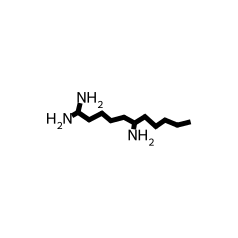 CCCCCC(N)CCCCC(N)N